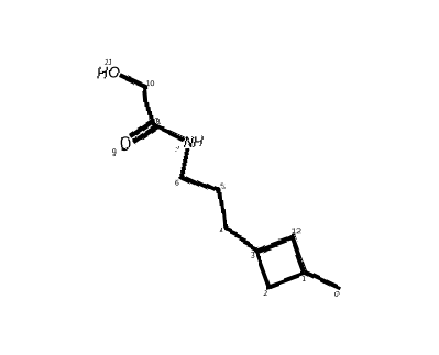 CC1CC(CCCNC(=O)CO)C1